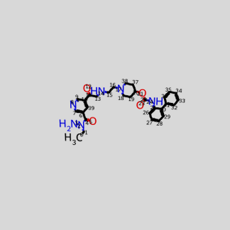 CCN(N)C(=O)c1cncc(C(=O)CNCCN2CCC(OC(=O)Nc3ccccc3-c3ccccc3)CC2)c1